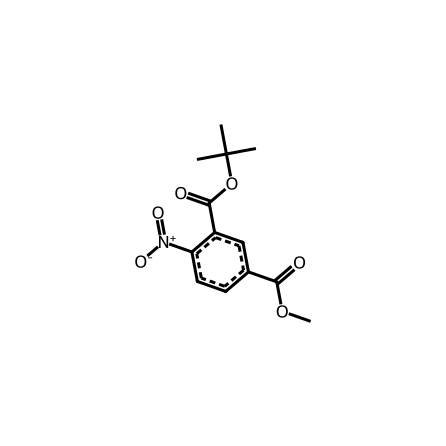 COC(=O)c1ccc([N+](=O)[O-])c(C(=O)OC(C)(C)C)c1